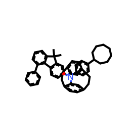 CC1(C)c2cc(N(c3ccc(C4CCCCCCC4)cc3)c3cc4ccc3CCc3ccc(cc3)CC4)ccc2-c2c(-c3ccccc3)cccc21